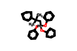 CC(C)([CH2][Hf]([O]c1ccccc1)([O]c1ccccc1)[O]c1ccccc1)c1ccccc1